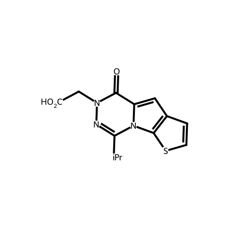 CC(C)c1nn(CC(=O)O)c(=O)c2cc3ccsc3n12